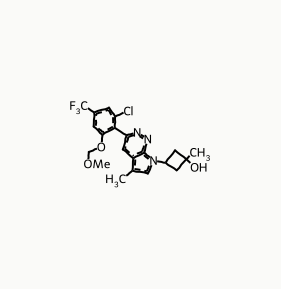 COCOc1cc(C(F)(F)F)cc(Cl)c1-c1cc2c(C)cn(C3CC(C)(O)C3)c2nn1